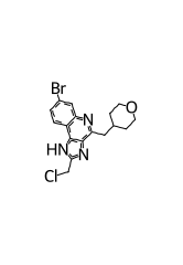 ClCc1nc2c(CC3CCOCC3)nc3cc(Br)ccc3c2[nH]1